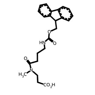 CN(CCC(=O)O)C(=O)CCCNC(=O)OCC1c2ccccc2-c2ccccc21